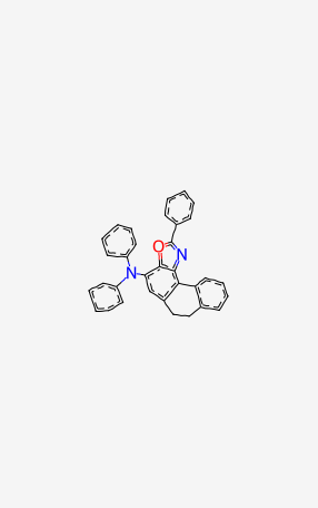 c1ccc(-c2nc3c4c(cc(N(c5ccccc5)c5ccccc5)c3o2)CCc2ccccc2-4)cc1